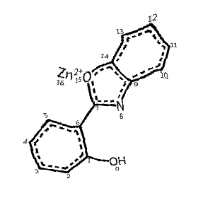 Oc1ccccc1-c1nc2ccccc2o1.[Zn+2]